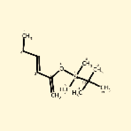 C=C(/C=C/CC)O[Si](C)(C)C(C)(C)C